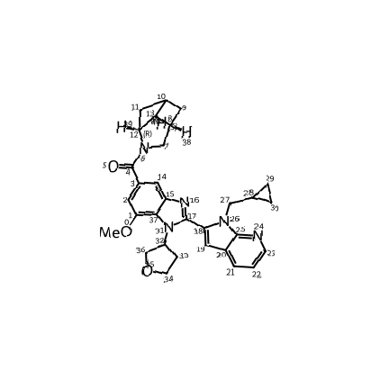 COc1cc(C(=O)N2C[C@H]3CC4C[C@@H]2[C@H]43)cc2nc(-c3cc4cccnc4n3CC3CC3)n(C3CCOC3)c12